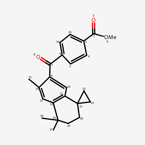 COC(=O)c1ccc(C(=O)c2cc3c(cc2C)C(C)(C)CCC32CC2)cc1